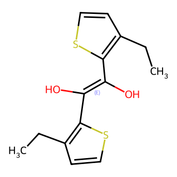 CCc1ccsc1/C(O)=C(\O)c1sccc1CC